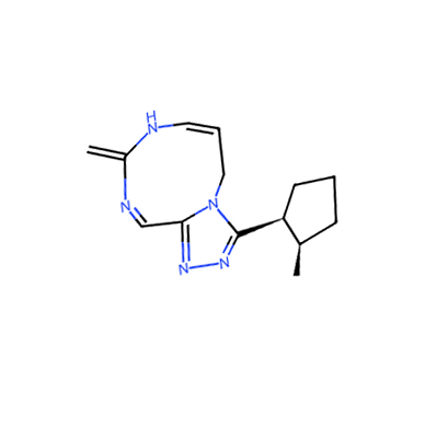 C=C1/N=C\c2nnc([C@H]3CCC[C@H]3C)n2C/C=C\N1